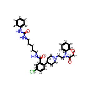 O=C(NCCCCCNC(=O)c1cc(Cl)ccc1C1CCN(CCN2C(=O)COc3ccccc32)CC1)Nc1ccccc1